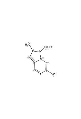 CCOC(=O)C1C(C)N=C2C=CC(C(C)C)=CN21